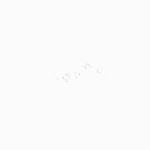 NC(=O)C1CN(C(=O)N2CC(c3ccc(Oc4ncc(C(F)(F)F)cn4)cc3)C2)C1